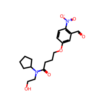 O=Cc1cc(OCCCC(=O)N(CCO)C2CCCC2)ccc1[N+](=O)[O-]